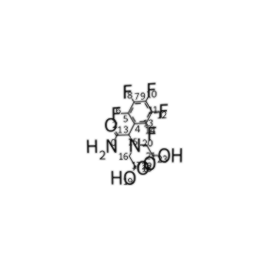 NC(=O)C(c1c(F)c(F)c(F)c(F)c1F)N(CC(=O)O)CC(=O)O